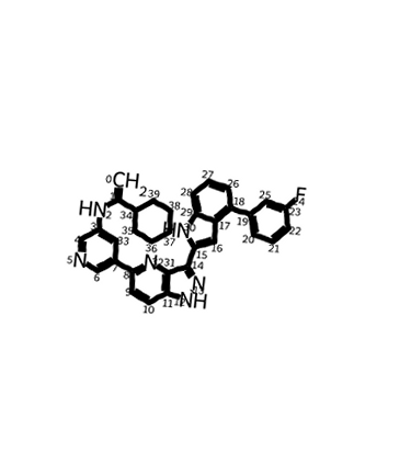 C=C(Nc1cncc(-c2ccc3[nH]nc(-c4cc5c(-c6cccc(F)c6)cccc5[nH]4)c3n2)c1)C1CCCCC1